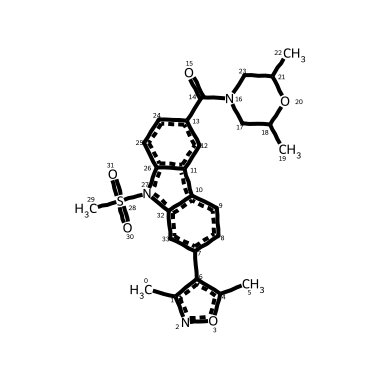 Cc1noc(C)c1-c1ccc2c3cc(C(=O)N4CC(C)OC(C)C4)ccc3n(S(C)(=O)=O)c2c1